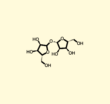 OC[C@H]1OC(O[C@@H]2O[C@H](CO)[C@@H](O)[C@H]2O)[C@H](O)[C@@H]1O